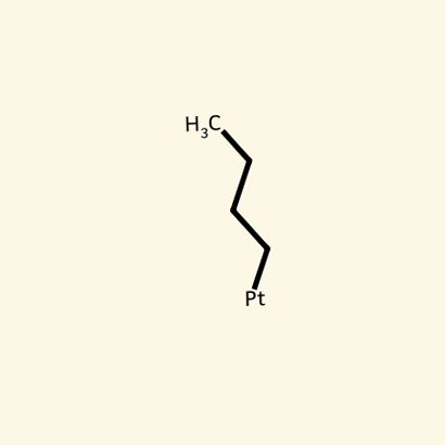 CCC[CH2][Pt]